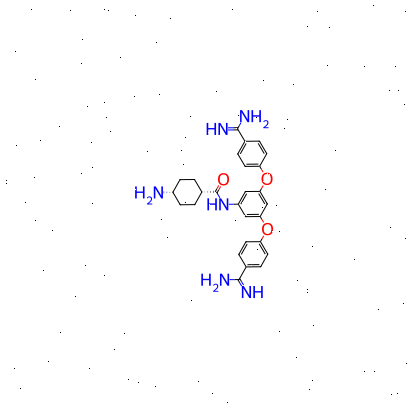 N=C(N)c1ccc(Oc2cc(NC(=O)[C@H]3CC[C@@H](N)CC3)cc(Oc3ccc(C(=N)N)cc3)c2)cc1